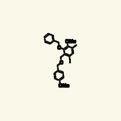 COc1ccc(COCc2c(I)cc(C)c(OC)c2OCc2ccccc2)cc1